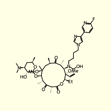 C=C[C@@]1(OC)[C@@H](CC)OC(=O)[C@H](C)C(=O)[C@H](C)[C@@H](OC2O[C@H](C)C[C@H](N(C)C)[C@H]2O)[C@@](C)(OC)C[C@@H](C)C(=O)[C@H](C)[C@H]1N(CO)CCCCn1cnc(-c2ccc(F)nc2)c1